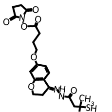 CC(C)(S)CC(=O)N/N=C1\CCOc2cc(OCCCC(=O)ON3C(=O)CCC3=O)ccc21